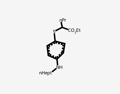 CCCCCCCNc1ccc(SC(CCC)C(=O)OCC)cc1